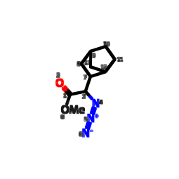 COC(=O)C(N=[N+]=[N-])C1CC2CCC1C2